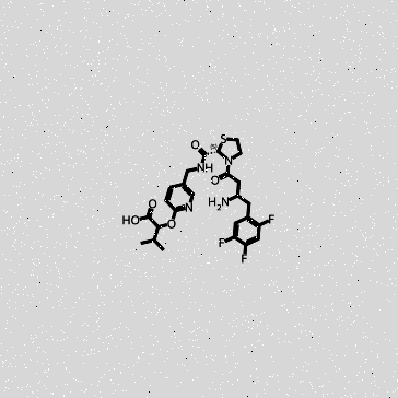 CC(C)C(Oc1ccc(CNC(=O)[C@@H]2SCCN2C(=O)CC(N)Cc2cc(F)c(F)cc2F)cn1)C(=O)O